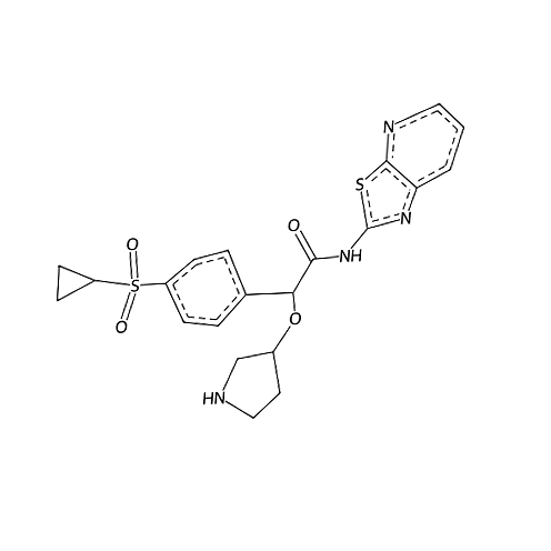 O=C(Nc1nc2cccnc2s1)C(OC1CCNC1)c1ccc(S(=O)(=O)C2CC2)cc1